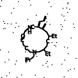 C=C/C=C1/CNCOCCCCN(CC(C)C)CC(CC)CCC(CC)CC1=C